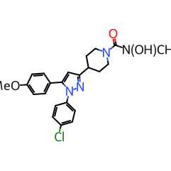 COc1ccc(-c2cc(C3CCN(C(=O)N(C)O)CC3)nn2-c2ccc(Cl)cc2)cc1